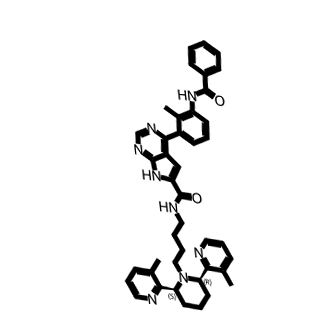 Cc1cccnc1[C@H]1CCC[C@@H](c2ncccc2C)N1CCCCNC(=O)c1cc2c(-c3cccc(NC(=O)c4ccccc4)c3C)ncnc2[nH]1